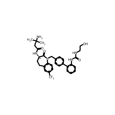 CC(C)(N)CC(=O)N[C@@H]1CCc2cc(C(F)(F)F)ccc2N(Cc2ccc(-c3ccccc3NC(=O)NCCO)cc2)C1=O